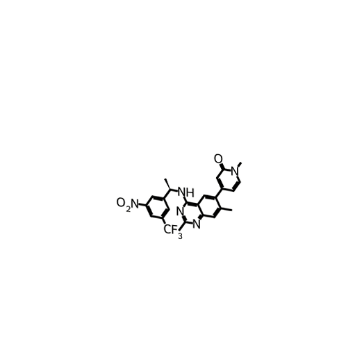 Cc1nc(N[C@H](C)c2cc([N+](=O)[O-])cc(C(F)(F)F)c2)c2cc(-c3ccn(C)c(=O)c3)c(C)cc2n1